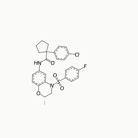 C[C@H]1CN(S(=O)(=O)c2ccc(F)cc2)c2cc(NC(=O)C3(c4ccc(Cl)cc4)CCCC3)ccc2O1